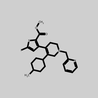 COC(=O)c1sc(I)cc1C1=C(C2CCC(C)CC2)CN(Cc2ccccn2)CC1